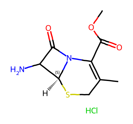 COC(=O)C1=C(C)CS[C@H]2C(N)C(=O)N12.Cl